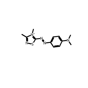 Cc1nsc(N=Nc2ccc(N(C)C)cc2)[n+]1C